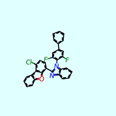 Fc1cc(-c2ccccc2)cc(F)c1-n1c(-c2ccc(Cl)c3c2oc2ccccc23)nc2ccccc21